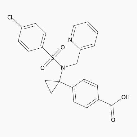 O=C(O)c1ccc(C2(N(Cc3ccccn3)S(=O)(=O)c3ccc(Cl)cc3)CC2)cc1